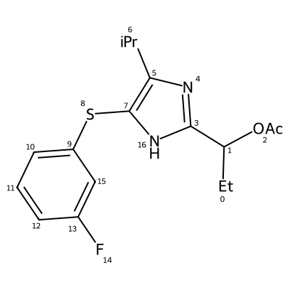 CCC(OC(C)=O)c1nc(C(C)C)c(Sc2cccc(F)c2)[nH]1